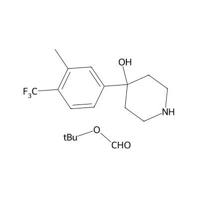 CC(C)(C)OC=O.Cc1cc(C2(O)CCNCC2)ccc1C(F)(F)F